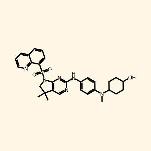 CN(c1ccc(Nc2ncc3c(n2)N(S(=O)(=O)c2cccc4cccnc24)CC3(C)C)cc1)C1CCC(O)CC1